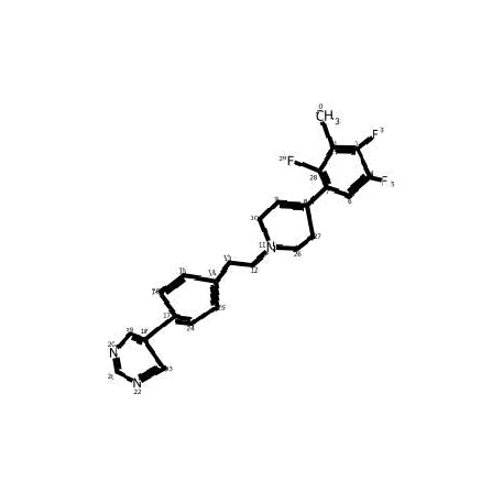 Cc1c(F)c(F)cc(C2=CCN(CCc3ccc(-c4cncnc4)cc3)CC2)c1F